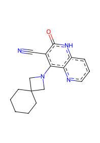 N#Cc1c(N2CC3(CCCCC3)C2)c2ncccc2[nH]c1=O